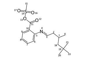 CC(CC=Nc1ccccc1C(=O)OS(C)(=O)=O)CC(C)(C)C